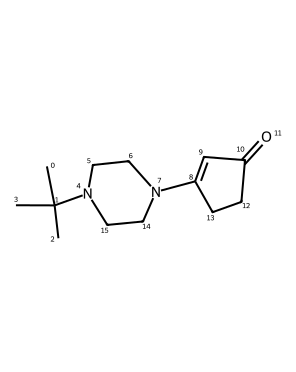 CC(C)(C)N1CCN(C2=CC(=O)CC2)CC1